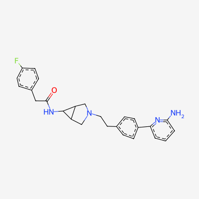 Nc1cccc(-c2ccc(CCN3CC4C(C3)C4NC(=O)Cc3ccc(F)cc3)cc2)n1